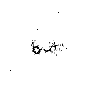 CC(C)(C)[Si](C)(C)OC(CNc1cccc(OC(F)(F)F)c1)C(F)(F)F